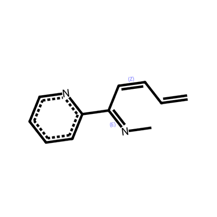 C=C/C=C\C(=N/C)c1ccccn1